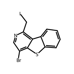 Brc1cnc(CI)c2c1sc1ccccc12